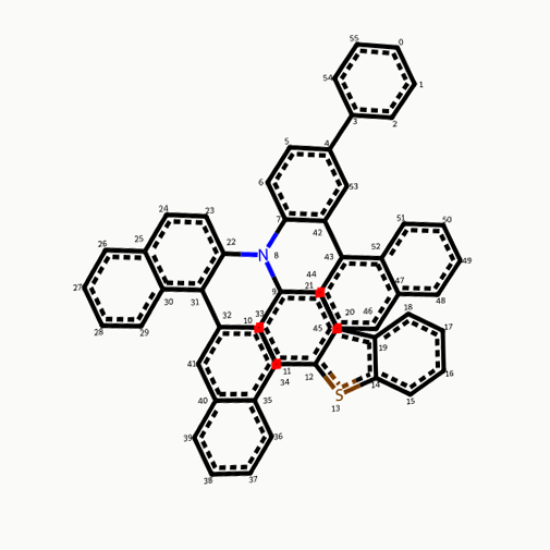 c1ccc(-c2ccc(N(c3ccc4sc5ccccc5c4c3)c3ccc4ccccc4c3-c3ccc4ccccc4c3)c(-c3cccc4ccccc34)c2)cc1